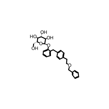 OC[C@H]1O[C@H](Oc2ccccc2Cc2ccc(CCOCc3ccccc3)cc2)[C@H](O)[C@@H](O)[C@@H]1O